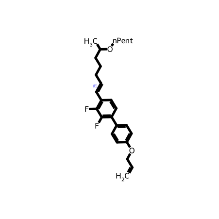 C=CCOc1ccc(-c2ccc(/C=C/CCCC(C)OCCCCC)c(F)c2F)cc1